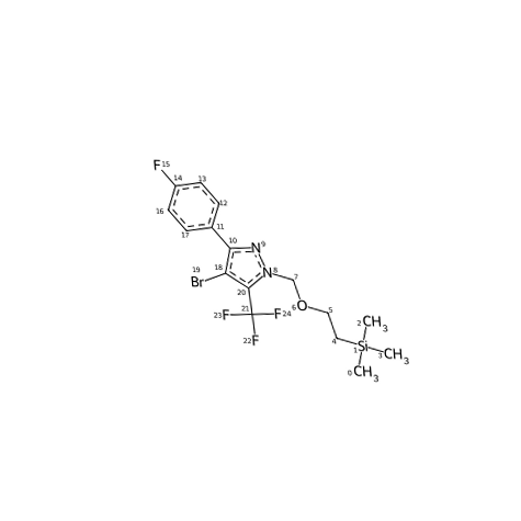 C[Si](C)(C)CCOCn1nc(-c2ccc(F)cc2)c(Br)c1C(F)(F)F